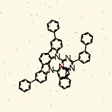 c1ccc(-c2cccc(-c3nc(-c4ccccc4)nc(-n4c5ccc(-c6ccccc6)cc5c5ccc6c7cc(-c8ccccc8)ccc7n(-c7ccccc7)c6c54)n3)c2)cc1